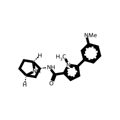 CNc1cccc(-c2ccc(C(=O)N[C@@H]3C[C@H]4CC[C@@H]3N4)n2C)c1